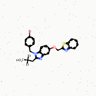 CCC(CC)(Cc1nc2cc(OCc3nc4ccccc4s3)ccc2n1Cc1ccc(Br)cc1)C(=O)O